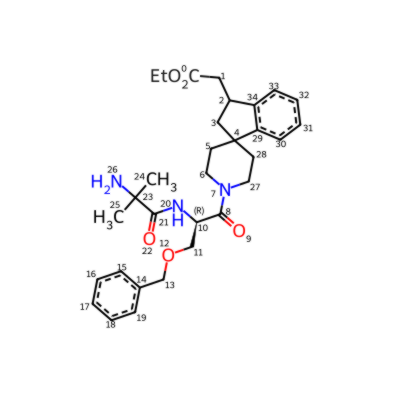 CCOC(=O)CC1CC2(CCN(C(=O)[C@@H](COCc3ccccc3)NC(=O)C(C)(C)N)CC2)c2ccccc21